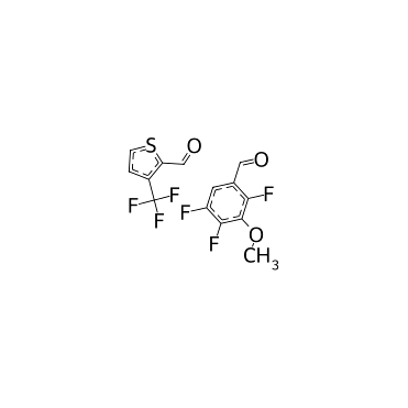 COc1c(F)c(F)cc(C=O)c1F.O=Cc1sccc1C(F)(F)F